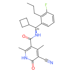 CCCc1c(F)cccc1[C@@H](NC(=O)c1c(C)[nH]c(=O)c(C#N)c1C)C1CCC1